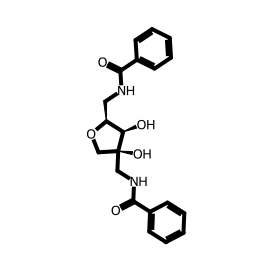 O=C(NC[C@@H]1OC[C@@](O)(CNC(=O)c2ccccc2)[C@@H]1O)c1ccccc1